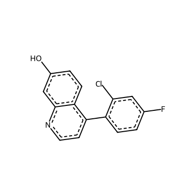 Oc1ccc2c(-c3ccc(F)cc3Cl)ccnc2c1